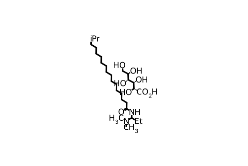 CCC(NC(=O)CCCCCCCCCCCCCCC(C)C)N(C)C.O=C(O)[C@H](O)[C@@H](O)[C@H](O)[C@H](O)CO